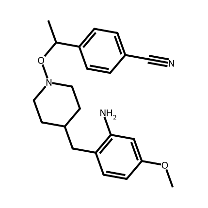 COc1ccc(CC2CCN(OC(C)c3ccc(C#N)cc3)CC2)c(N)c1